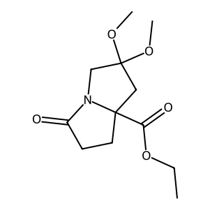 CCOC(=O)C12CCC(=O)N1CC(OC)(OC)C2